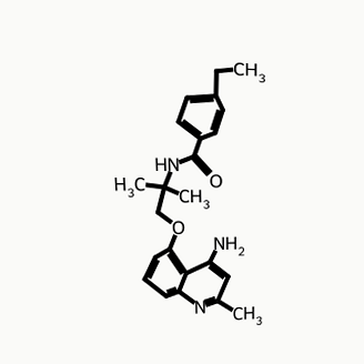 CCc1ccc(C(=O)NC(C)(C)COc2cccc3nc(C)cc(N)c23)cc1